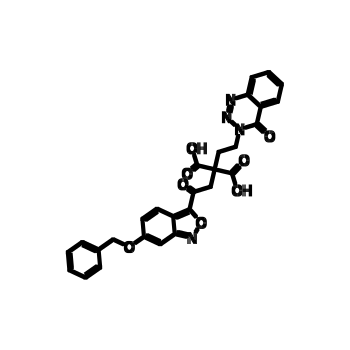 O=C(CC(CCn1nnc2ccccc2c1=O)(C(=O)O)C(=O)O)c1onc2cc(OCc3ccccc3)ccc12